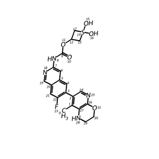 Cc1c(-c2cc3cc(NC(=O)OC4CS(O)(O)C4)ncc3cc2F)cnc2c1NCCO2